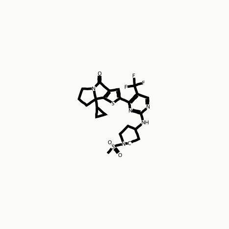 CS(=O)(=O)N1CCC(Nc2ncc(C(F)(F)F)c(-c3cc4c(s3)C3(C5CC5)CCCN3C4=O)n2)CC1